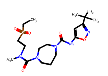 CCS(=O)(=O)CCN(C)C(=O)N1CCCN(C(=O)Nc2cc(C(C)(C)C)no2)CC1